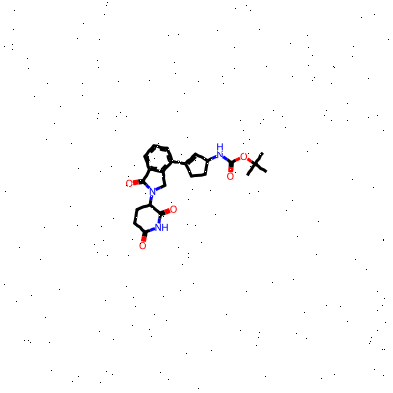 CC(C)(C)OC(=O)NC1C=C(c2cccc3c2CN(C2CCC(=O)NC2=O)C3=O)CC1